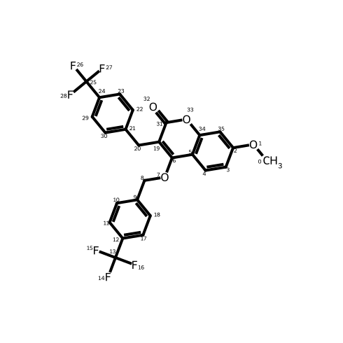 COc1ccc2c(OCc3ccc(C(F)(F)F)cc3)c(Cc3ccc(C(F)(F)F)cc3)c(=O)oc2c1